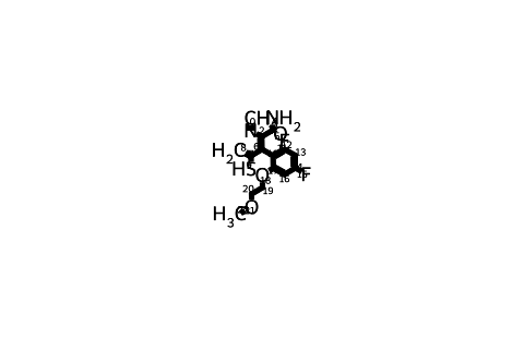 C=N/C(C(N)=O)=C(\C(=C)S)c1c(F)cc(F)cc1OCCOC